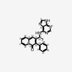 C[C@H](Nc1ncnc2[nH]cnc12)c1cc2ccccn2c(=O)c1-c1ccccc1